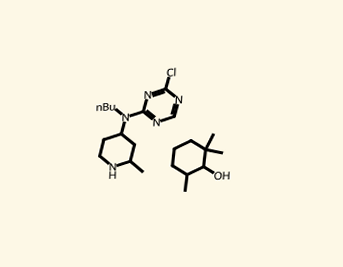 CC1CCCC(C)(C)C1O.CCCCN(c1ncnc(Cl)n1)C1CCNC(C)C1